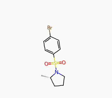 C[C@H]1CCCN1S(=O)(=O)c1ccc(Br)cc1